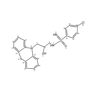 N=S(=O)(NCC(O)CN1c2ccccc2Sc2ccccc21)c1ccc(Cl)cc1